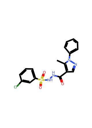 Cc1c(C(=O)NNS(=O)(=O)c2cccc(Cl)c2)cnn1-c1ccccc1